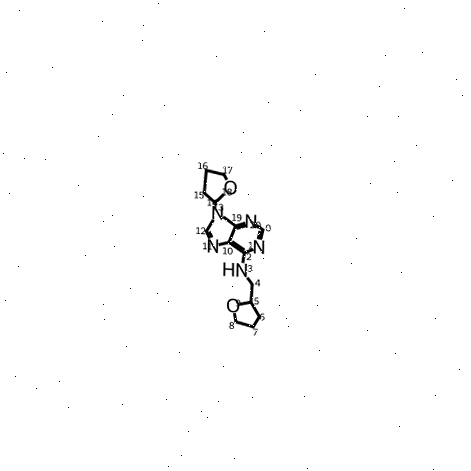 c1nc(NCC2CCCO2)c2ncn(C3CCCO3)c2n1